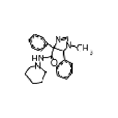 CN1C=NC(C(=O)NN2CCCCC2)(c2ccccc2)C1c1ccccc1